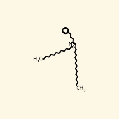 CCCCCCCCCCCCCCCn1cc(CCCc2ccccc2)nc1CCCCCCCCCCCC